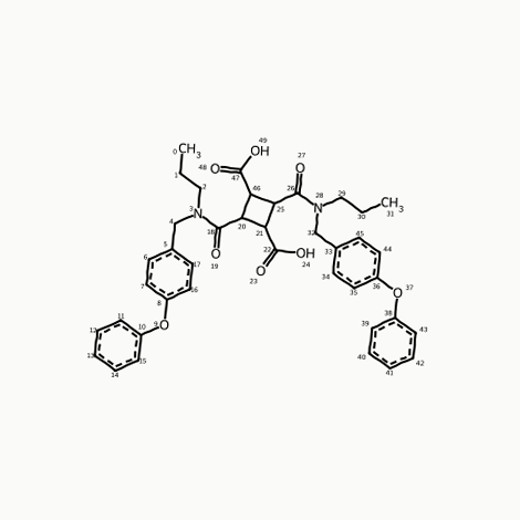 CCCN(Cc1ccc(Oc2ccccc2)cc1)C(=O)C1C(C(=O)O)C(C(=O)N(CCC)Cc2ccc(Oc3ccccc3)cc2)C1C(=O)O